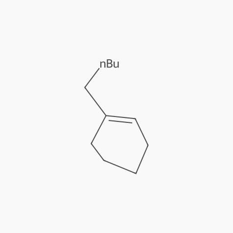 CCCCCC1=CCCCC1